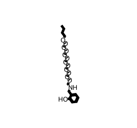 CCCCOOOOOOOOOOOOCNCc1ccccc1O